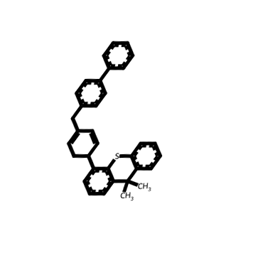 CC1(C)c2ccccc2Sc2c(C3C=CC(Cc4ccc(-c5ccccc5)cc4)=CC3)cccc21